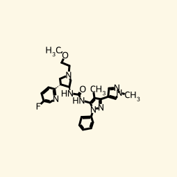 COCCN1C[C@@H](NC(=O)Nc2c(C)c(-c3cnn(C)c3)nn2-c2ccccc2)[C@H](c2ccc(F)cn2)C1